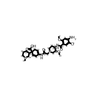 COc1cc(N)c(Cl)cc1C(=O)N[C@@H]1CCN(CC(=O)NC2=CCC(C(=O)O)(C3CCCN(C)C3)C=C2)C[C@@H]1OC